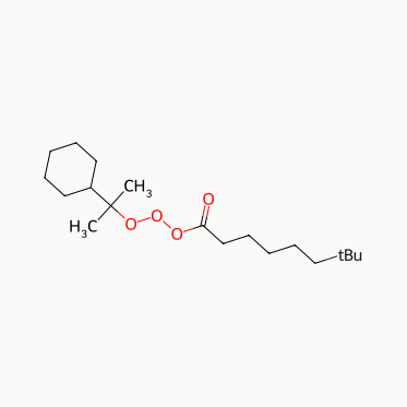 CC(C)(C)CCCCCC(=O)OOOC(C)(C)C1CCCCC1